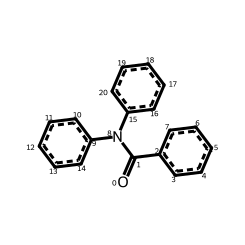 O=C(c1cc[c]cc1)N(c1ccccc1)c1ccccc1